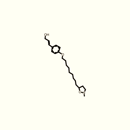 CN1CCC(CCCCCCCCCOc2ccc(C=CCO)cc2)O1